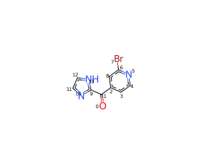 O=C(c1ccnc(Br)c1)c1ncc[nH]1